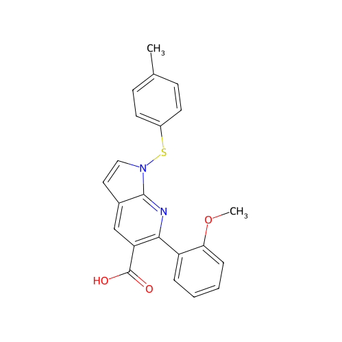 COc1ccccc1-c1nc2c(ccn2Sc2ccc(C)cc2)cc1C(=O)O